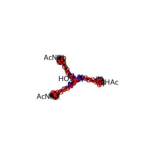 CC(=O)N[C@H]1[C@H]2OC[C@](COCCOCCOCCOCCn3cc(COCC(COCc4cn(CCOCCOCCOCCOC[C@@]56CO[C@@H](O5)[C@H](NC(C)=O)[C@H]5OC(C)(C)O[C@H]56)nn4)(COCc4cn(CCOCCOCCOCCOC[C@@]56CO[C@@H](O5)[C@H](NC(C)=O)[C@H]5OC(C)(C)O[C@H]56)nn4)NC(=O)O)nn3)(O2)[C@@H]2OC(C)(C)O[C@H]12